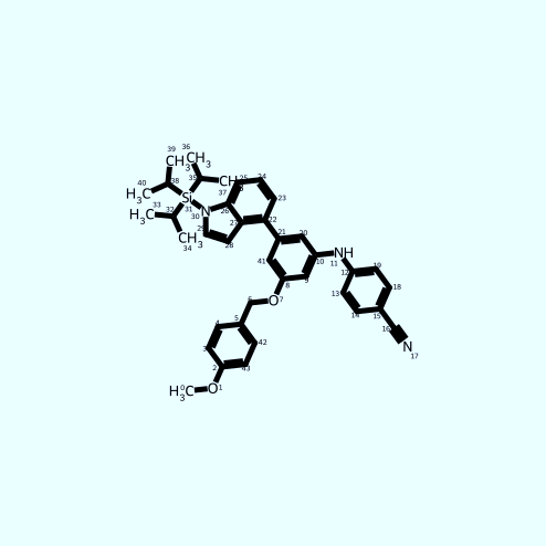 COc1ccc(COc2cc(Nc3ccc(C#N)cc3)cc(-c3cccc4c3ccn4[Si](C(C)C)(C(C)C)C(C)C)c2)cc1